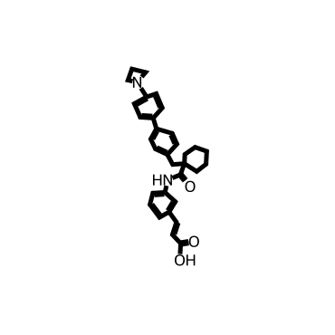 O=C(O)/C=C/c1cccc(NC(=O)C2(Cc3ccc(-c4ccc(N5CCC5)cc4)cc3)CCCCC2)c1